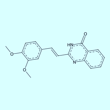 COc1ccc(C=Cc2nc3ccccc3c(=O)[nH]2)cc1OC